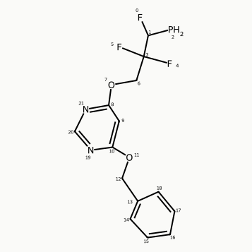 FC(P)C(F)(F)COc1cc(OCc2ccccc2)ncn1